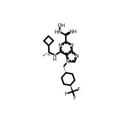 C[C@@H](Nc1nc(C(=N)NO)nc2ncn(C[C@H]3CC[C@H](C(F)(F)F)CC3)c12)C1CCC1